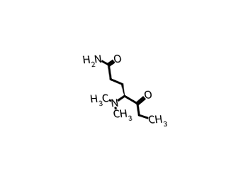 CCC(=O)[C@H](CCC(N)=O)N(C)C